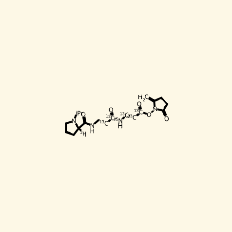 [2H]C1(C(=O)NC[13CH2][13C](=O)[15NH][13CH2][13CH2][13C](=O)ON2C(=C)CCC2=O)CCCN1C(C)C